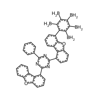 Bc1c(B)c(B)c(-c2cccc3c2oc2cccc(-c4nc(-c5ccccc5)nc(-c5cccc6oc7ccccc7c56)n4)c23)c(B)c1B